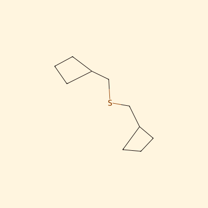 C1CC(CSCC2CCC2)C1